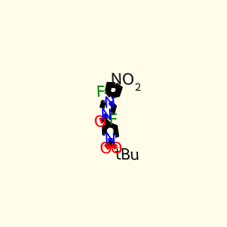 CC(C)(C)OC(=O)N1CCC(F)(C(=O)N2CCN(c3ccc([N+](=O)[O-])cc3F)CC2)CC1